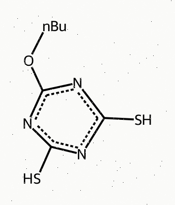 CCCCOc1nc(S)nc(S)n1